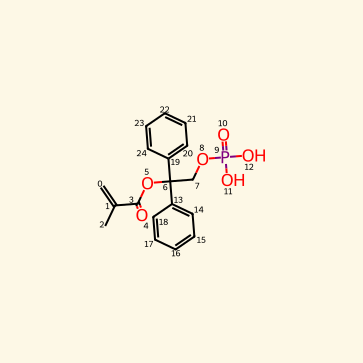 C=C(C)C(=O)OC(COP(=O)(O)O)(c1ccccc1)c1ccccc1